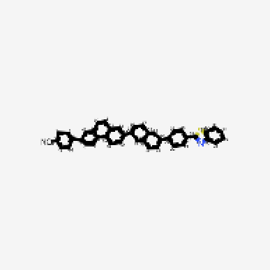 N#Cc1ccc(-c2ccc3c(ccc4cc(-c5ccc6cc(-c7ccc(-c8nc9ccccc9s8)cc7)ccc6c5)ccc43)c2)cc1